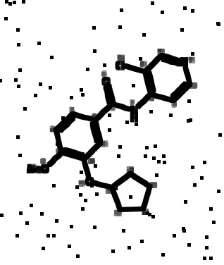 COc1ccc(C(=O)Nc2ccncc2Cl)cc1OC1CCCC1